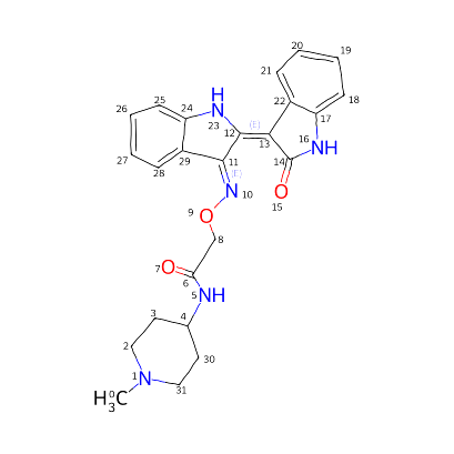 CN1CCC(NC(=O)CO/N=C2/C(=C3\C(=O)Nc4ccccc43)Nc3ccccc32)CC1